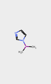 CI(C)n1ccnc1